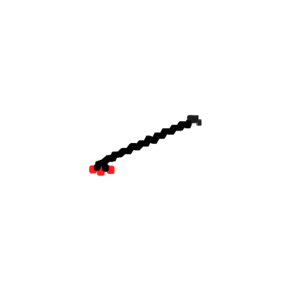 CCC=CCCCCCCCCCC=CCCCCC=CC1CC(=O)OC1=O